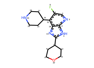 Fc1cnc2[nH]c(C3CCOCC3)nc2c1C1CCNCC1